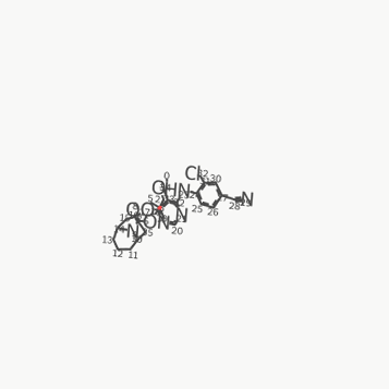 COCC(C)(C)OC(=O)N1C2CCCC1CC(Oc1ncnc(Nc3ccc(C#N)cc3Cl)c1C)C2